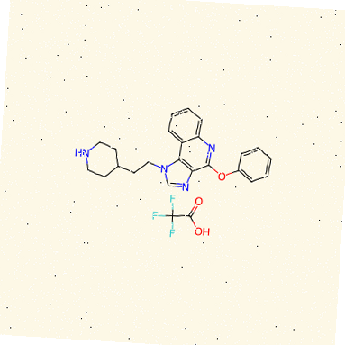 O=C(O)C(F)(F)F.c1ccc(Oc2nc3ccccc3c3c2ncn3CCC2CCNCC2)cc1